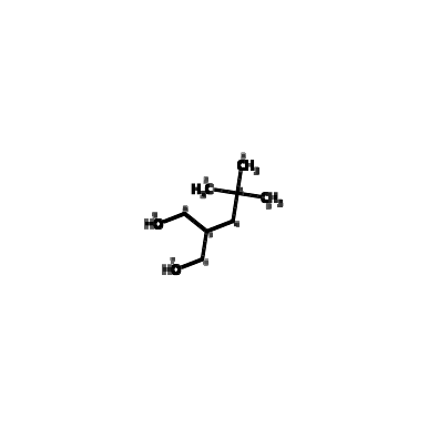 CC(C)(C)CC(CO)CO